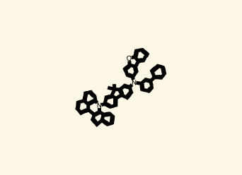 CC1(C)c2cc(N(c3cccc(-c4ccccc4)c3)c3ccc4oc5ccccc5c4c3)ccc2-c2ccc(N3c4c(ccc5ccccc45)-c4cccc5cccc3c45)cc21